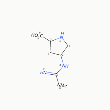 CNC(=N)NC1CNC(C(=O)O)C1